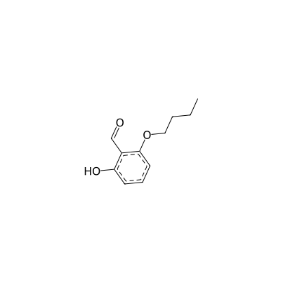 CCCCOc1cccc(O)c1C=O